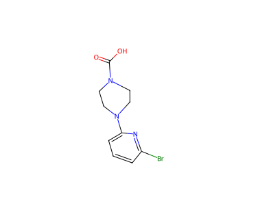 O=C(O)N1CCN(c2cccc(Br)n2)CC1